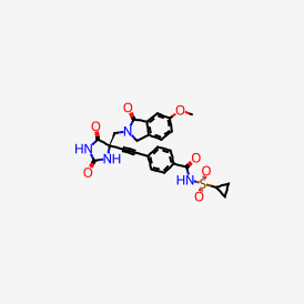 COc1ccc2c(c1)C(=O)N(C[C@@]1(C#Cc3ccc(C(=O)NS(=O)(=O)C4CC4)cc3)NC(=O)NC1=O)C2